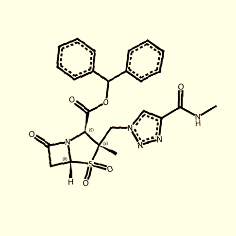 CNC(=O)c1cn(C[C@@]2(C)[C@H](C(=O)OC(c3ccccc3)c3ccccc3)N3C(=O)C[C@H]3S2(=O)=O)nn1